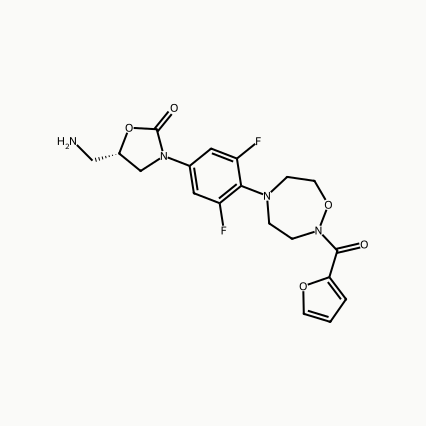 NC[C@H]1CN(c2cc(F)c(N3CCON(C(=O)c4ccco4)CC3)c(F)c2)C(=O)O1